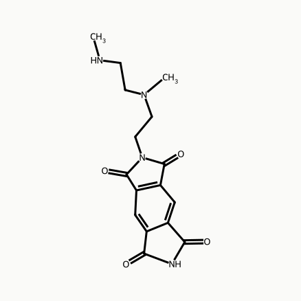 CNCCN(C)CCn1c(=O)c2cc3c(=O)[nH]c(=O)c3cc2c1=O